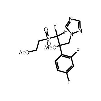 COC(Cn1cncn1)(c1ccc(F)cc1F)C(F)(F)S(=O)(=O)CCOC(C)=O